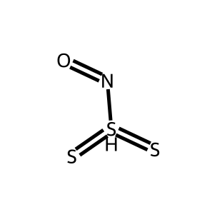 O=N[SH](=S)=S